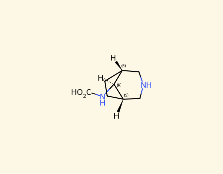 O=C(O)N[C@H]1[C@@H]2CC[C@H]1CNC2